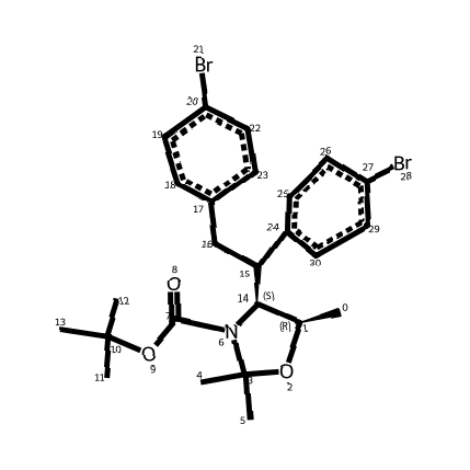 C[C@H]1OC(C)(C)N(C(=O)OC(C)(C)C)[C@H]1C(Cc1ccc(Br)cc1)c1ccc(Br)cc1